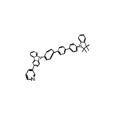 CC1(C)c2ccccc2N(c2ccc(-c3ccc(-c4ccc(-n5c6ccccc6c6cc(-c7cccnc7)ccc65)cc4)cc3)cc2)C1(C)C